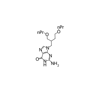 CCCOCCC(COCCC)Cn1cnc2c(=O)[nH]c(N)nc21